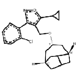 Clc1ccccc1-c1noc(C2CC2)c1CO[C@H]1C[C@H]2CC3C[C@@H](C1)C3C2